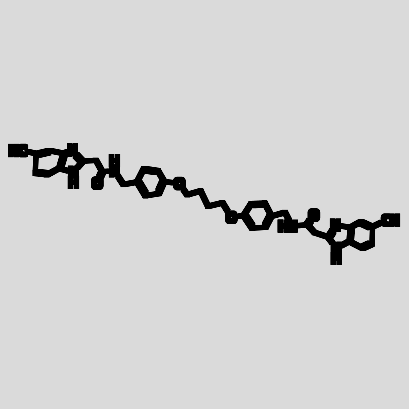 N#Cc1ccc2[nH]c(CC(=O)NCc3ccc(OCCCCOc4ccc(CNC(=O)Cc5nc6cc(C#N)ccc6[nH]5)cc4)cc3)nc2c1